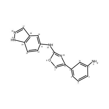 Nc1cccc(-c2noc(Nc3ccc4[nH]ncc4c3)n2)c1